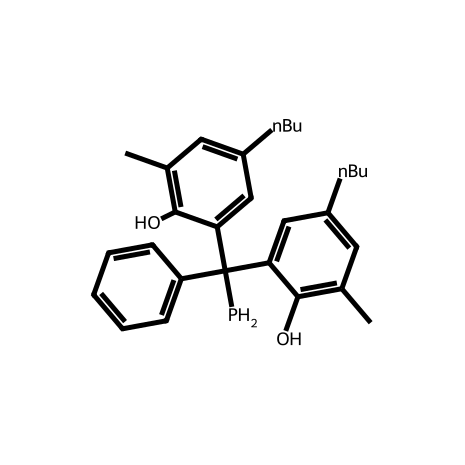 CCCCc1cc(C)c(O)c(C(P)(c2ccccc2)c2cc(CCCC)cc(C)c2O)c1